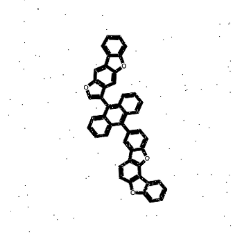 c1ccc2c(c1)oc1cc3c(-c4c5ccccc5c(-c5ccc6oc7c(ccc8oc9ccccc9c87)c6c5)c5ccccc45)coc3cc12